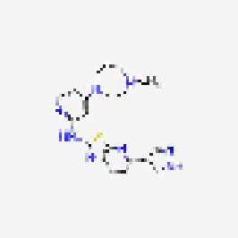 CN1CCCN(c2ccnc(Nc3nc4ccc(C5C=NNC5)nc4s3)c2)CC1